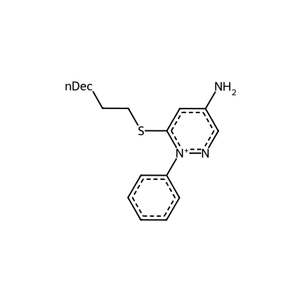 CCCCCCCCCCCCSc1cc(N)cn[n+]1-c1ccccc1